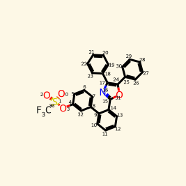 O=S(=O)(Oc1cccc(-c2ccccc2-c2nc(-c3ccccc3)c(-c3ccccc3)o2)c1)C(F)(F)F